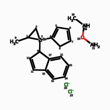 C[CH]1[CH2][Zr+2]1([C]1=CC=CC1)[CH]1C=Cc2ccccc21.[CH3][AlH][O][AlH2].[Cl-].[Cl-]